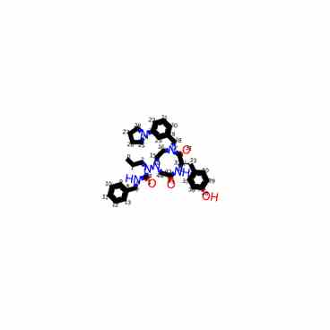 CCCN(C(=O)NCc1ccccc1)N1CCN(Cc2cccc(N3CCCC3)c2)C(=O)[C@H](Cc2ccc(O)cc2)NC(=O)C1